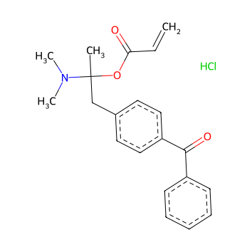 C=CC(=O)OC(C)(Cc1ccc(C(=O)c2ccccc2)cc1)N(C)C.Cl